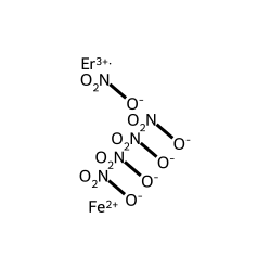 O=[N+]([O-])[O-].O=[N+]([O-])[O-].O=[N+]([O-])[O-].O=[N+]([O-])[O-].O=[N+]([O-])[O-].[Er+3].[Fe+2]